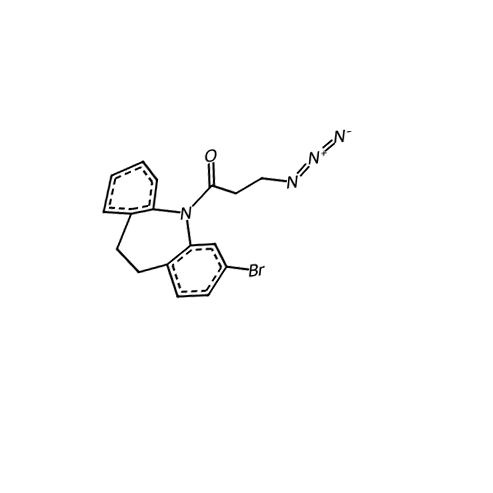 [N-]=[N+]=NCCC(=O)N1c2ccccc2CCc2ccc(Br)cc21